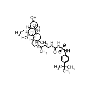 CC[C@H]1[C@@H](O)[C@@H]2[C@H](CC[C@]3(C)[C@@H]([C@H](C)CCNC(=O)NS(=O)(=O)Nc4ccc(C(C)(C)C)cc4)CC[C@@H]23)[C@@]2(C)CC[C@@H](O)C[C@@H]12